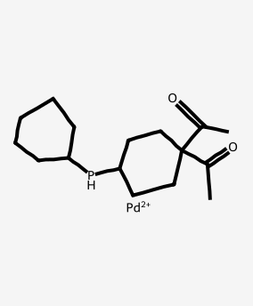 CC(=O)C1(C(C)=O)CCC(PC2CCCCC2)CC1.[Pd+2]